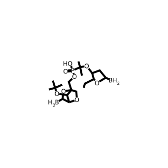 BC1CC(OC(C)(C)P(=O)(O)OCC23COC(C(B)O2)C3OC(C)(C)C)C(CC)O1